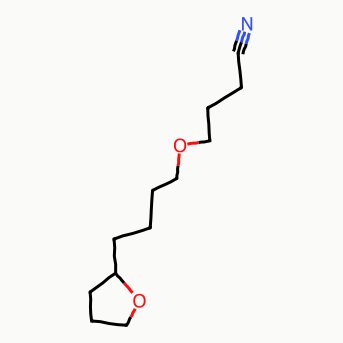 N#CCCCOCCCCC1CCCO1